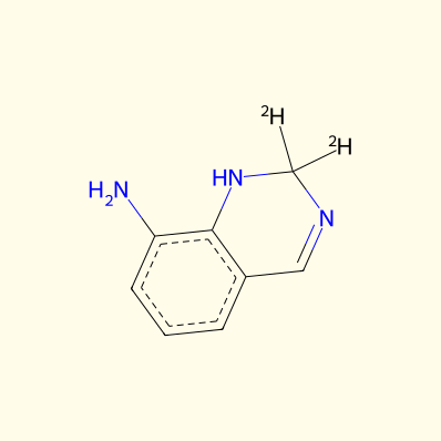 [2H]C1([2H])N=Cc2cccc(N)c2N1